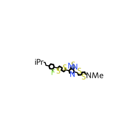 CNc1cc2sc(-c3ncc(-c4cc5sc(-c6ccc(CCC(C)C)cc6F)cc5s4)c4nsnc34)cc2s1